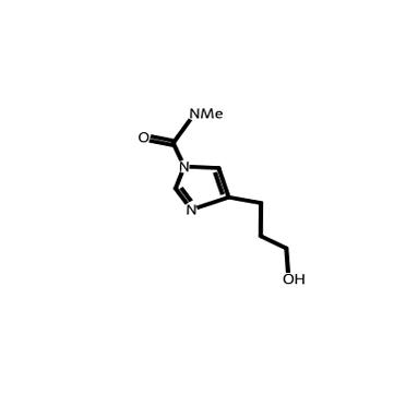 CNC(=O)n1cnc(CCCO)c1